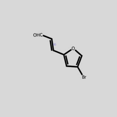 O=C/C=C/c1cc(Br)co1